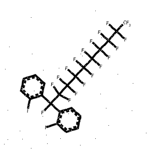 FC(F)(F)C(F)(F)C(F)(F)C(F)(F)C(F)(F)C(F)(F)C(F)(F)C(F)(F)C(F)(F)C(F)(c1ccccc1I)c1ccccc1I